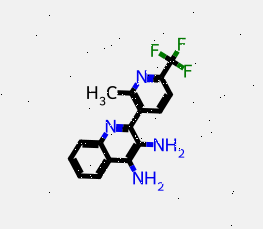 Cc1nc(C(F)(F)F)ccc1-c1nc2ccccc2c(N)c1N